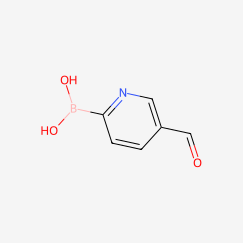 O=Cc1ccc(B(O)O)nc1